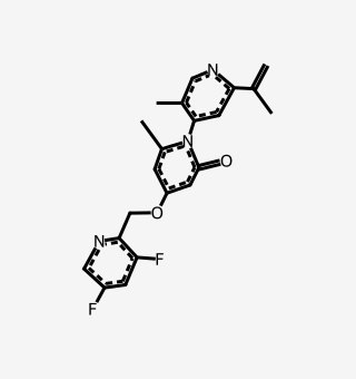 C=C(C)c1cc(-n2c(C)cc(OCc3ncc(F)cc3F)cc2=O)c(C)cn1